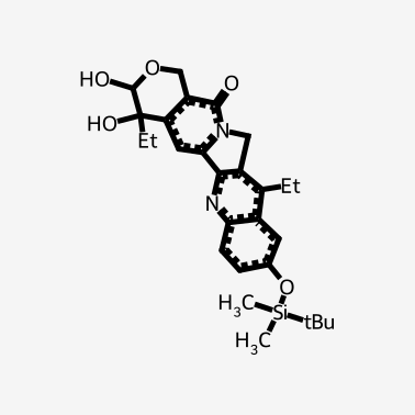 CCc1c2c(nc3ccc(O[Si](C)(C)C(C)(C)C)cc13)-c1cc3c(c(=O)n1C2)COC(O)C3(O)CC